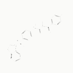 O=C(NC(=S)Nc1ccc(S(=O)(=O)N2CCc3ccccc32)cc1)c1ccc(Cl)cc1